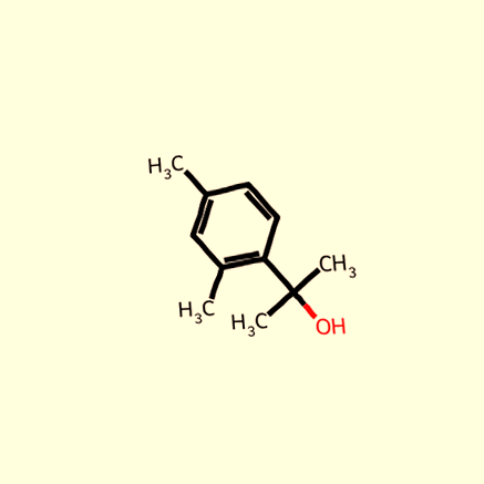 Cc1ccc(C(C)(C)O)c(C)c1